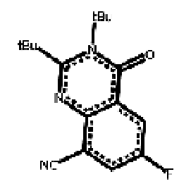 CC(C)(C)c1nc2c(C#N)cc(F)cc2c(=O)n1C(C)(C)C